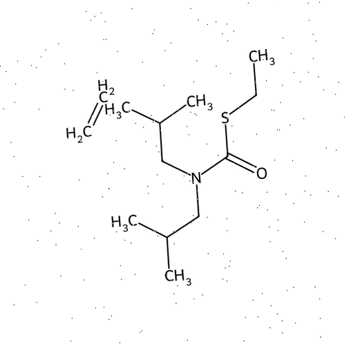 C=C.CCSC(=O)N(CC(C)C)CC(C)C